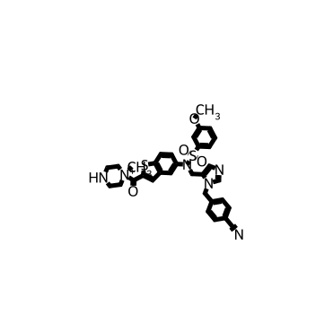 COc1cccc(S(=O)(=O)N(Cc2cncn2Cc2ccc(C#N)cc2)c2ccc3sc(C(=O)[N+]4(C)CCNCC4)cc3c2)c1